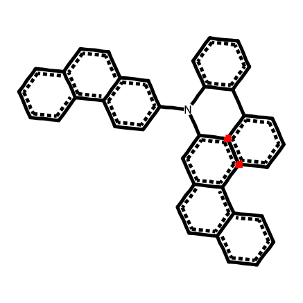 c1ccc(-c2ccccc2N(c2ccc3c(ccc4ccccc43)c2)c2ccc3c(ccc4ccccc43)c2)cc1